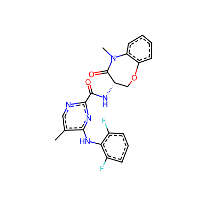 Cc1cnc(C(=O)N[C@H]2COc3ccccc3N(C)C2=O)nc1Nc1c(F)cccc1F